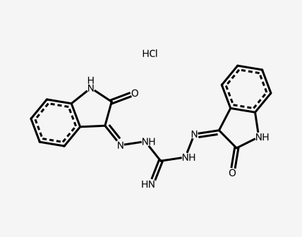 Cl.N=C(NN=C1C(=O)Nc2ccccc21)NN=C1C(=O)Nc2ccccc21